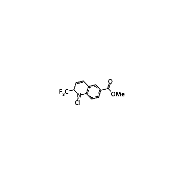 COC(=O)c1ccc2c(c1)C=CC(C(F)(F)F)N2Cl